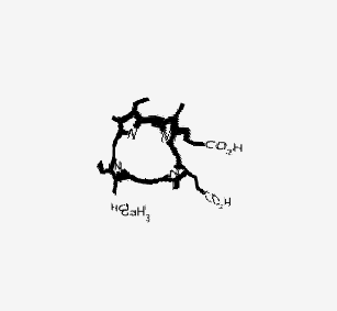 C=CC1=C(C)c2cc3[nH]c(cc4nc(cc5[nH]c(cc1n2)c(C)c5CCC(=O)O)C(CCC(=O)O)=C4C)c(C)c3C=C.Cl.[GaH3]